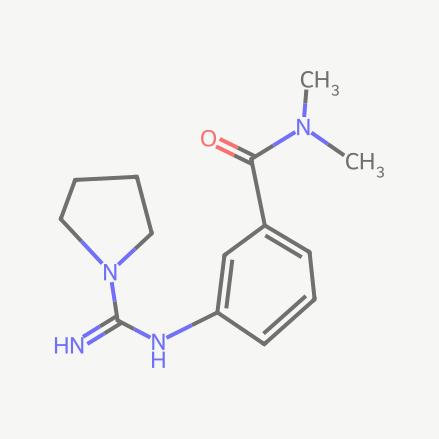 CN(C)C(=O)c1cccc(NC(=N)N2CCCC2)c1